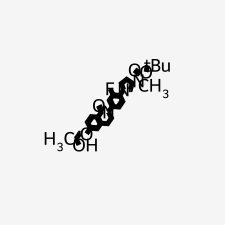 CC(O)COc1ccc2c(c1)CCN(c1ccc(N3CC[C@@H](N(C)C(=O)OC(C)(C)C)C3)c(F)c1)C2=O